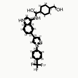 OCC1CCC(C(O)Nc2c[nH]c3ccc(-c4cnn(-c5ccc(C(F)(F)F)cc5)c4)cc23)CC1